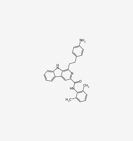 Cc1cccc(C)c1NC(=O)c1cc2c([nH]c3ccccc32)c(CCc2ccc(N)cc2)n1